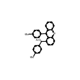 CC(=O)OC(c1ccc(C(C)(C)C)cc1)c1cccc2nc3ccccc3c(-c3ccc(C(C)(C)C)cc3)c12